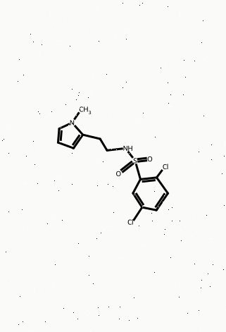 Cn1cccc1CCNS(=O)(=O)c1cc(Cl)ccc1Cl